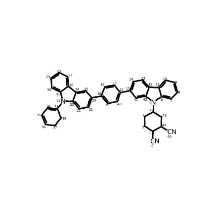 N#CC1CCC(n2c3ccccc3c3ccc(-c4ccc(-c5ccc6c(c5)c5ccccc5n6C5=CC=CCC5)cc4)cc32)CC1C#N